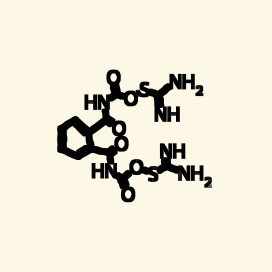 N=C(N)SOC(=O)NC(=O)c1ccccc1C(=O)NC(=O)OSC(=N)N